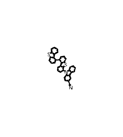 N#Cc1ccc2c(c1)c1ccccc1n2-c1cccc2c1sc1cccc(-c3cccc4sc5ccccc5c34)c12